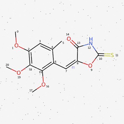 COc1cc(C)c(/C=C2/OC(=S)NC2=O)c(OC)c1OC